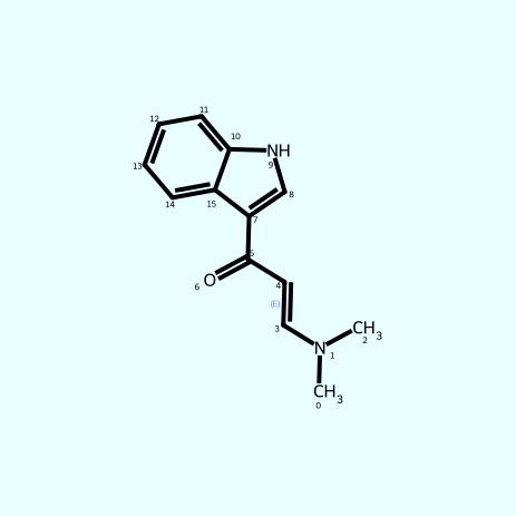 CN(C)/C=C/C(=O)c1c[nH]c2ccccc12